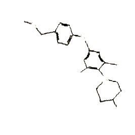 O=C(O)NCc1ccc(Nc2cc(F)c(N3CCC(C(F)(F)F)CC3)c(F)c2)cc1